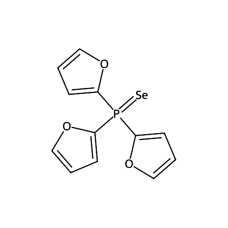 [Se]=P(c1ccco1)(c1ccco1)c1ccco1